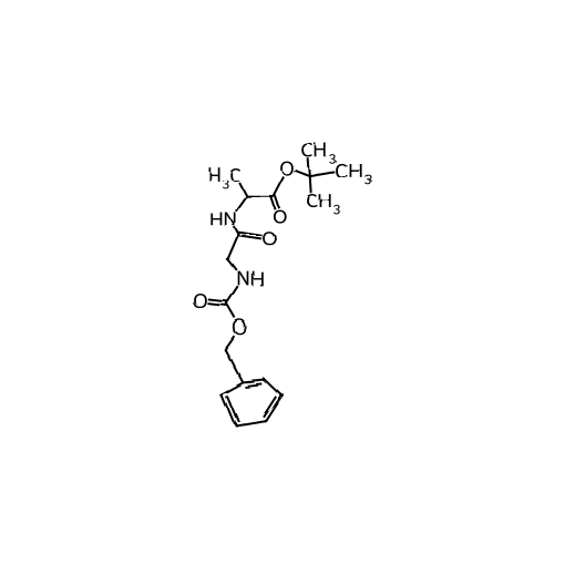 CC(NC(=O)CNC(=O)OCc1ccccc1)C(=O)OC(C)(C)C